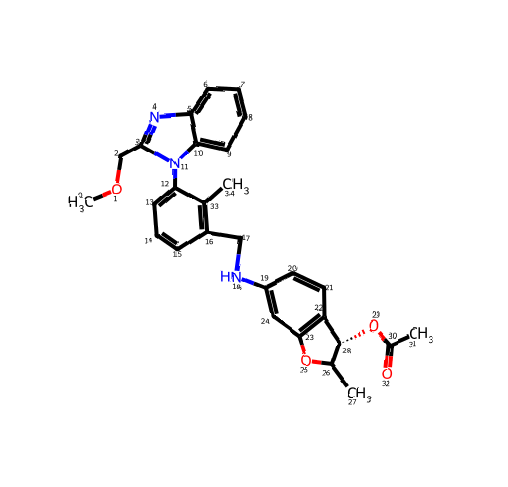 COCc1nc2ccccc2n1-c1cccc(CNc2ccc3c(c2)OC(C)[C@H]3OC(C)=O)c1C